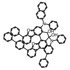 OC1c2c(N(c3ccccc3)c3ccc4ccccc4c3)cc3oc4c(-c5ccccc5)cccc4c3c2-c2c(ccc3c2oc2c(-c4ccc(-c5ccccc5)cc4)cccc23)C1(O)N(c1ccccc1)c1ccc(-c2ccccc2)cc1